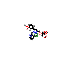 COC(=O)C(C)(C)OCc1cc(-c2cccc(OC)c2)n(Cc2ncccc2Cl)n1